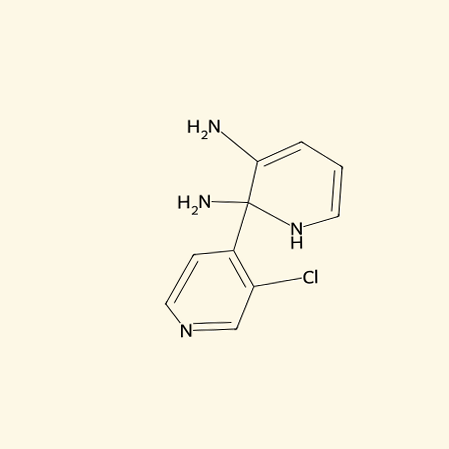 NC1=CC=CNC1(N)c1ccncc1Cl